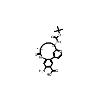 C[C@@H]1CCC[C@H](NC(=O)OC(C)(C)C)c2cc(ccn2)-c2cc(C(=O)O)c(N)cc2NC1=O